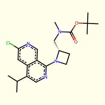 CC(C)c1cnc(N2CC[C@H]2CN(C)C(=O)OC(C)(C)C)c2cnc(Cl)cc12